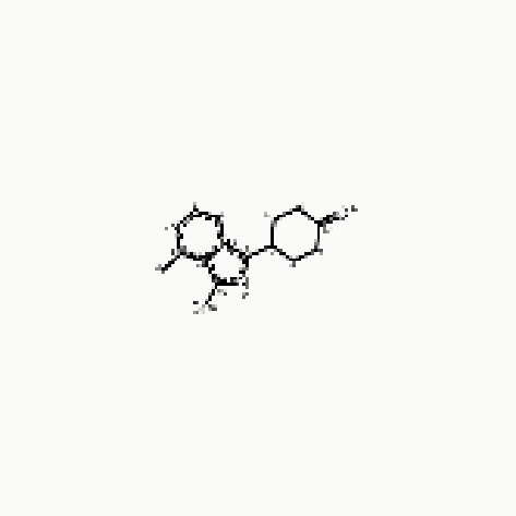 Cc1nccn2c(C3CCC(=O)CC3)nc(Br)c12